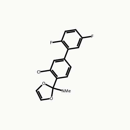 CNC1(c2ccc(-c3cc(F)ccc3F)cc2Cl)OC=CO1